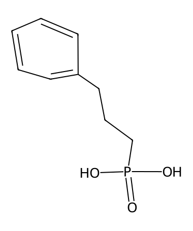 O=P(O)(O)CCCc1ccccc1